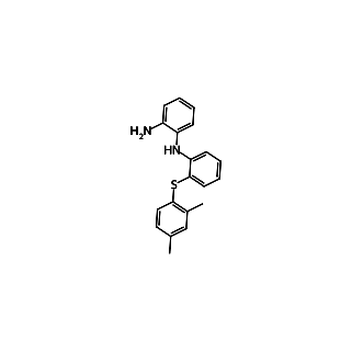 Cc1ccc(Sc2ccccc2Nc2ccccc2N)c(C)c1